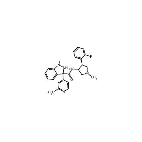 Cc1cc(C2(C(=O)N[C@H]3CN(C)C[C@@H]3c3ccccc3F)NNc3ccccc32)ccn1